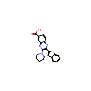 O=C(O)c1ccc2nc(-c3cc4ccccc4s3)c(N3CCCCC3)nc2c1